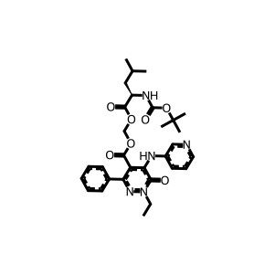 CCn1nc(-c2ccccc2)c(C(=O)OCOC(=O)[C@@H](CC(C)C)NC(=O)OC(C)(C)C)c(Nc2cccnc2)c1=O